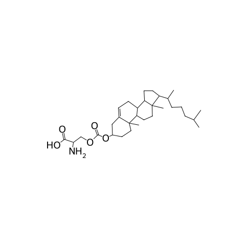 CC(C)CCCC(C)C1CCC2C3CC=C4CC(OC(=O)OCC(N)C(=O)O)CCC4(C)C3CCC12C